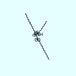 CCCCCCCCCCCCCCCCCCOC(=O)CCC(NC(=O)CCCCCCCCCCC)C(=O)OCCCCCCCCCCCCCCCCCC